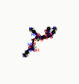 CSC[C@H](NC(=O)CCC(C)CO[C@@H]1C[C@@H](C(=O)NCc2ccc(-c3scnc3C)cc2)N(C(=O)[C@H](CSC)N2Cc3ccc(O[C@@H]4C[C@@H](C(=O)NCc5ccc(-c6scnc6C)cc5)N(C(=O)[C@H]([C@H](C)O)N5Cc6ccccc6C5=O)C4)cc3C2=O)C1)C(=O)N1C[C@H](O)C[C@H]1C(=O)NCc1ccc(-c2scnc2C)cc1